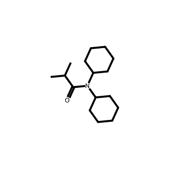 CC(C)C(=O)N(C1CCCCC1)C1CCCCC1